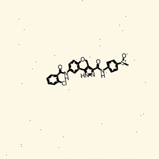 C[S+]([O-])c1ccc(NC(=O)c2n[nH]c3c2COc2ccc(NC(=O)c4ccccc4Cl)cc2-3)cc1